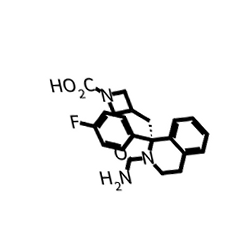 NC(=O)N1CCc2ccccc2[C@]1(CC1CN(C(=O)O)C1)c1ccc(F)cc1